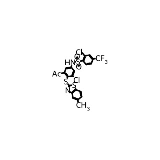 CC(=O)c1cc(NS(=O)(=O)c2ccc(C(F)(F)F)cc2Cl)cc(Cl)c1Sc1nc2cc(C)ccc2s1